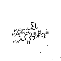 COCCSC([C@@H](C)Oc1cc(NC(=O)CN(C)CCN(C)C)ccc1S(=O)(=O)NC(C=O)CC(=O)O)n1cnc2ccccc21